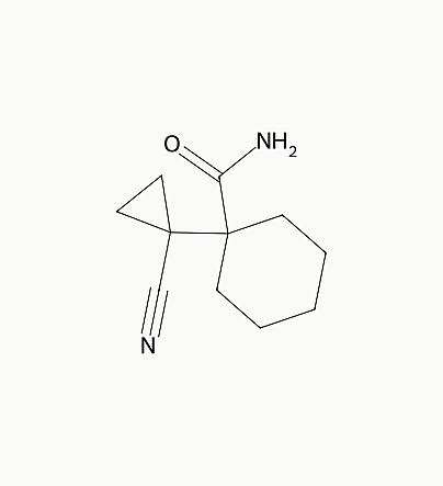 N#CC1(C2(C(N)=O)CCCCC2)CC1